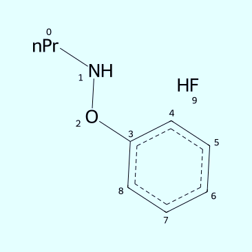 CCCNOc1ccccc1.F